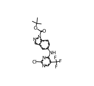 CC(C)(C)OC(=O)n1ncc2cc(Nc3nc(Cl)ncc3C(F)(F)F)ccc21